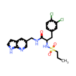 CCCS(=O)(=O)NC(Cc1ccc(Cl)c(Cl)c1)C(=O)NCc1cnc2[nH]ccc2c1